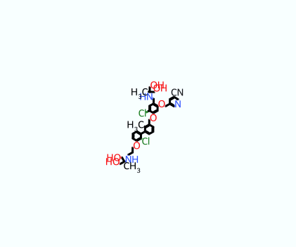 Cc1c(COc2cc(OCc3cncc(C#N)c3)c(CNC(C)(CO)CO)cc2Cl)cccc1-c1cccc(OCCCNC(C)(CO)CO)c1Cl